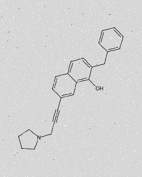 Oc1c(Cc2ccccc2)ccc2ccc(C#CCN3CCCC3)cc12